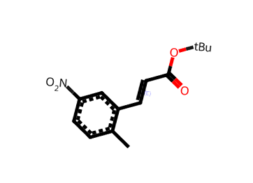 Cc1ccc([N+](=O)[O-])cc1/C=C/C(=O)OC(C)(C)C